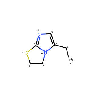 CC(C)Cc1cnc2n1CCS2